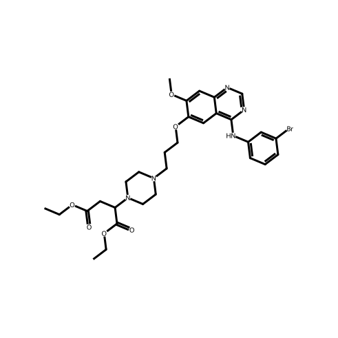 CCOC(=O)CC(C(=O)OCC)N1CCN(CCCOc2cc3c(Nc4cccc(Br)c4)ncnc3cc2OC)CC1